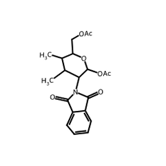 CC(=O)OCC1OC(OC(C)=O)C(N2C(=O)c3ccccc3C2=O)C(C)C1C